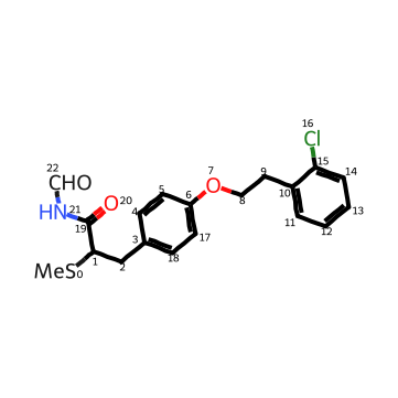 CSC(Cc1ccc(OCCc2ccccc2Cl)cc1)C(=O)NC=O